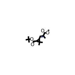 COC(=O)/C(C)=C/C1C(C(=O)OC(C)(C)C)C1(C)C